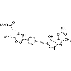 COC(=O)CC[C@H](NC(=O)c1ccc(C#Cn2cnc3nc(C)c(OC(=O)C(C)(C)C)c-3c2O)cc1)C(=O)OC